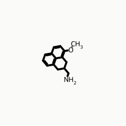 COc1ccc2cccc3c2c1CC(CN)C3